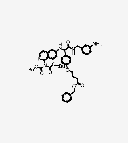 CC(C)(C)OC(=O)N(C(=O)OC(C)(C)C)c1nccc2cc(NC(C(=O)NCc3cccc(N)c3)c3ccc(OCCCC(=O)OCc4ccccc4)cc3)ccc12